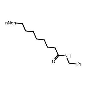 CCCCCCCCCCCCCCCCC(=O)NCC(C)C